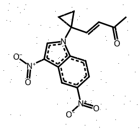 CC(=O)/C=C/C1(n2cc([N+](=O)[O-])c3cc([N+](=O)[O-])ccc32)CC1